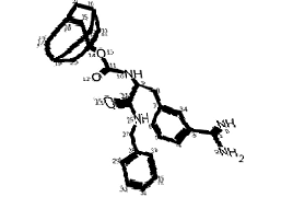 N=C(N)c1cccc(C[C@H](NC(=O)OC23CC4CC(CC(C4)C2)C3)C(=O)NCc2ccccc2)c1